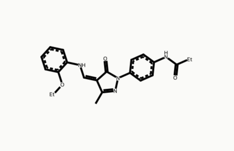 CCOc1ccccc1N/C=C1\C(=O)N(c2ccc(NC(=O)CC)cc2)N=C1C